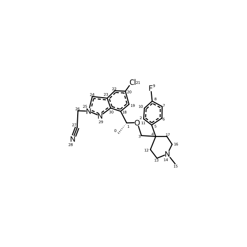 C[C@@H](OCC1(c2ccc(F)cc2)CCN(C)CC1)c1cc(Cl)cc2cn(CC#N)nc12